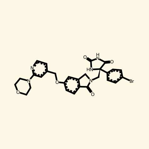 O=C1NC(=O)[C@](CN2Cc3cc(OCc4ccnc(N5CCOCC5)c4)ccc3C2=O)(c2ccc(Br)cc2)N1